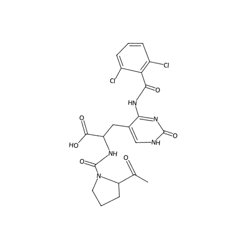 CC(=O)C1CCCN1C(=O)NC(Cc1c[nH]c(=O)nc1NC(=O)c1c(Cl)cccc1Cl)C(=O)O